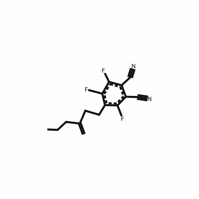 C=C(CCC)CCc1c(F)c(F)c(C#N)c(C#N)c1F